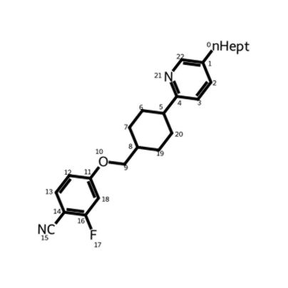 CCCCCCCc1ccc(C2CCC(COc3ccc(C#N)c(F)c3)CC2)nc1